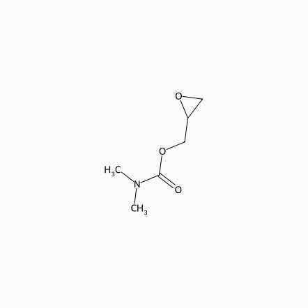 CN(C)C(=O)OCC1CO1